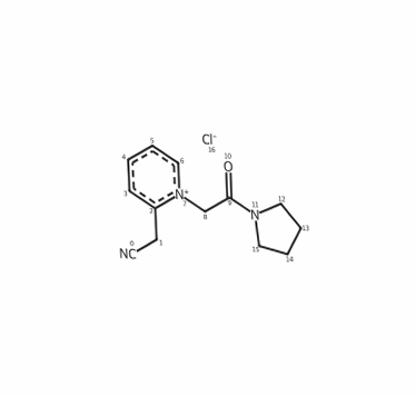 N#CCc1cccc[n+]1CC(=O)N1CCCC1.[Cl-]